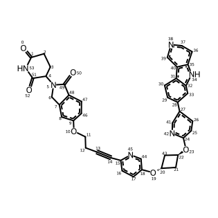 O=C1CCC(N2Cc3cc(OCCC#Cc4ccc(O[C@H]5C[C@H](Oc6ccc(-c7ccc8c(c7)[nH]c7ccncc78)cn6)C5)cn4)ccc3C2=O)C(=O)N1